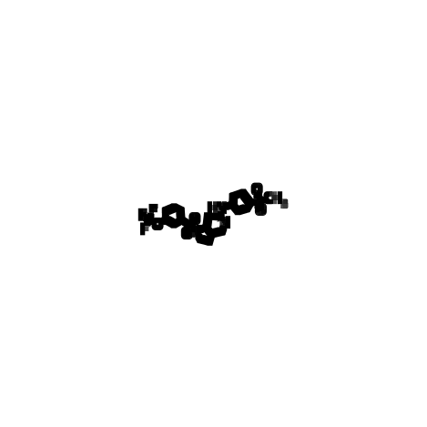 CS(=O)(=O)c1ccc(Nc2cc3c(ccn3S(=O)(=O)c3cccc(OC(F)(F)F)c3)cn2)cc1